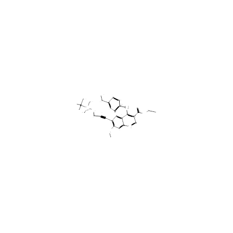 CCOC(=O)c1cnc2cc(OC)c(C#CCO[Si](C)(C)C(C)(C)C)cc2c1Nc1ccc(CC)cc1